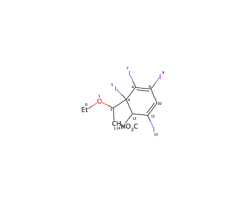 CCOC(C)C1(I)C(I)=C(I)C=C(I)C1C(=O)O